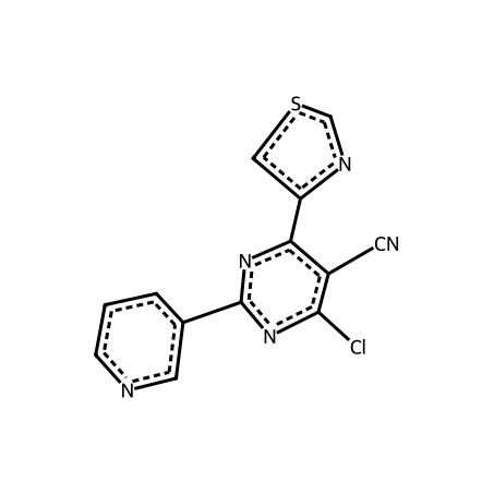 N#Cc1c(Cl)nc(-c2cccnc2)nc1-c1cscn1